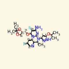 CC(C)Oc1cc(N(c2nc(N)c(F)c(OC[C@@H]3COC(C)(C)O3)n2)[C@@H](C)c2ccc(F)cn2)n[nH]1